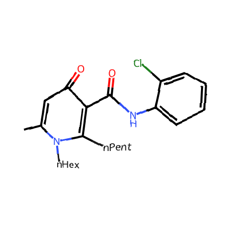 CCCCCCn1c(C)cc(=O)c(C(=O)Nc2ccccc2Cl)c1CCCCC